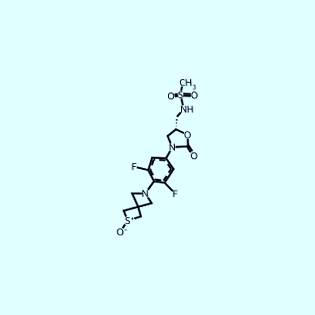 CS(=O)(=O)NC[C@H]1CN(c2cc(F)c(N3CC4(C3)C[S+]([O-])C4)c(F)c2)C(=O)O1